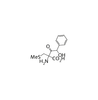 CSCC(N)(C(=O)O)C(=O)C(O)c1ccccc1